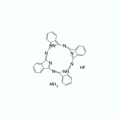 F.[AlH3].c1ccc2c(c1)-c1nc-2nc2[nH]c(nc3nc(nc4[nH]c(n1)c1ccccc41)-c1ccccc1-3)c1ccccc21